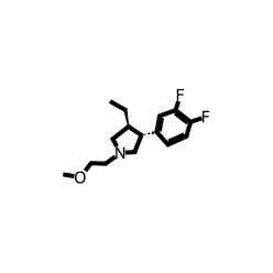 CC[C@@H]1CN(CCOC)C[C@H]1c1ccc(F)c(F)c1